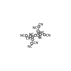 N#Cc1ccc(-c2ccc3c(c2)c2cc(-c4ccc(C#N)cc4C#N)ccc2n3-c2cc(-c3ccncc3)c(-n3c4ccc(-c5ccc(C#N)cc5C#N)cc4c4cc(-c5ccc(C#N)cc5C#N)ccc43)cc2C#N)c(C#N)c1